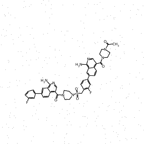 CC(=O)N1CCN(C(=O)c2cnc(N)c3cc(-c4ccc(CS(=O)(=O)N5CCN(C(=O)c6cnc(N)c7cc(-c8cccc(F)c8)ccc67)CC5)c(F)c4)ccc23)CC1